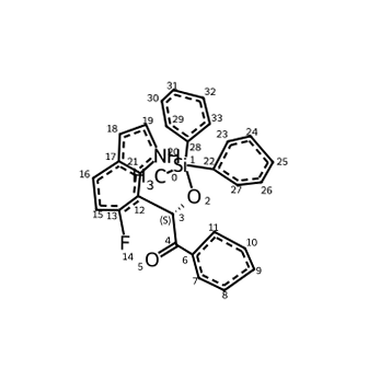 C[Si](O[C@H](C(=O)c1ccccc1)c1c(F)ccc2cc[nH]c12)(c1ccccc1)c1ccccc1